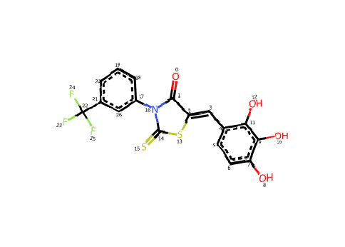 O=C1/C(=C/c2ccc(O)c(O)c2O)SC(=S)N1c1cccc(C(F)(F)F)c1